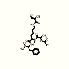 CC(C)C=C(C#N)C(=O)NCCCCC(NC(=O)C(C)NC(=O)C(C)C)C(=O)N[C@@H](Cc1ccccc1)B(O)O